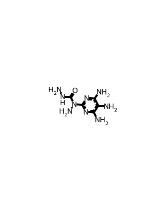 NNC(=O)N(N)c1nc(N)c(N)c(N)n1